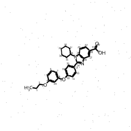 CCCOc1cccc(Oc2ccc(-c3nc4cc(C(=O)O)ccc4n3C3CCCCC3)cc2)c1